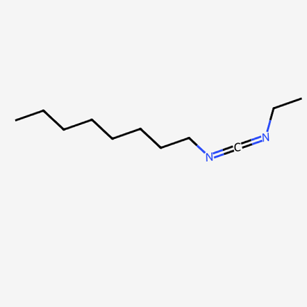 CCCCCCCCN=C=NCC